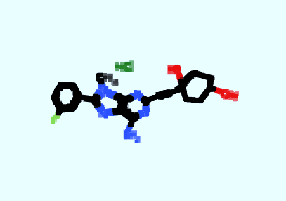 Cl.Cn1c(-c2cccc(F)c2)nc2c(N)nc(C#CC3(O)CCC(O)CC3)nc21